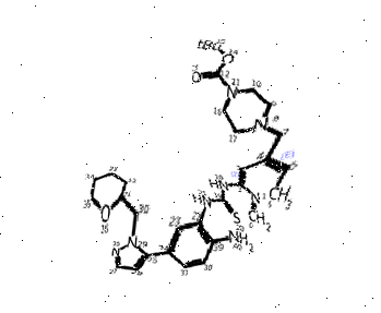 C=N/C(=C\C(=C/C)CN1CCN(C(=O)OC(C)(C)C)CC1)NC(=S)Nc1cc(-c2ccnn2CC2CCCCO2)ccc1N